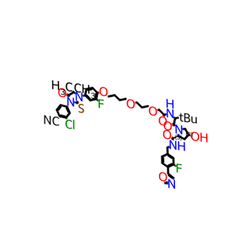 CC(C)(C)C(NC(=O)COCCCOCCCCOc1ccc(N2C(=S)N(c3ccc(C#N)c(Cl)c3)C(=O)C2(C)C)cc1F)C(=O)N1C[C@H](O)C[C@H]1C(=O)NCc1ccc(-c2cnco2)c(F)c1